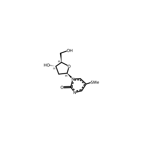 CSc1cnc(=O)n([C@H]2C[C@H](O)[C@@H](CO)O2)c1